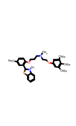 COc1ccc(OCCCN(C)CCOc2cc(OC)c(OC)c(OC)c2)c(C2Sc3ccccc3N2C(C)=O)c1